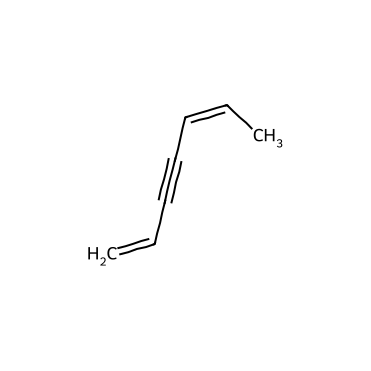 C=CC#C/C=C\C